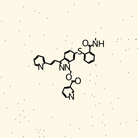 CNC(=O)c1ccccc1Sc1ccc2c(/C=C/c3ccccn3)nn(COC(=O)c3cccnc3)c2c1